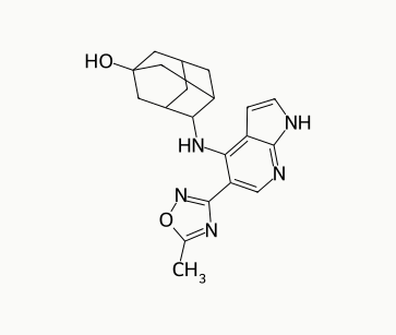 Cc1nc(-c2cnc3[nH]ccc3c2NC2C3CC4CC2CC(O)(C4)C3)no1